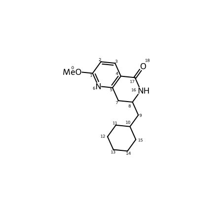 COc1ccc2c(n1)CC(CC1CCCCC1)NC2=O